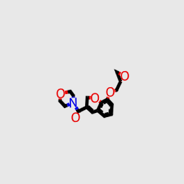 O=C(C1=Cc2cccc(OCC3CO3)c2OC1)N1CCOCC1